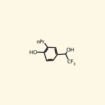 CCCc1cc(C(O)C(F)(F)F)ccc1O